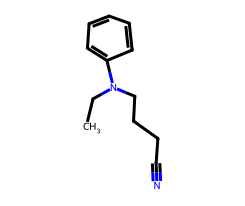 CCN(CCCC#N)c1ccccc1